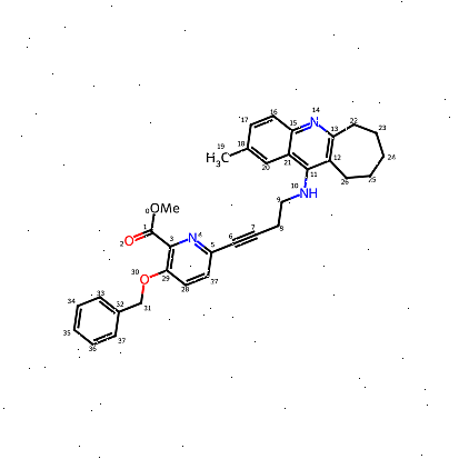 COC(=O)c1nc(C#CCCNc2c3c(nc4ccc(C)cc24)CCCCC3)ccc1OCc1ccccc1